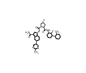 Cc1ncc(-c2ccc3c(c2)c(C(N)=O)cn3CC(=O)N2C[C@H](F)CC2C(=O)Nc2cccc(-c3ccccc3C)c2F)cn1